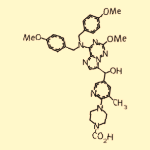 COc1ccc(CN(Cc2ccc(OC)cc2)c2nc(OC)nn3c(C(O)c4cnc(N5CCN(C(=O)O)CC5)c(C)c4)cnc23)cc1